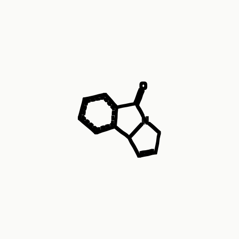 O=C1c2ccccc2C2C=CCN12